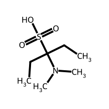 CCC(CC)(N(C)C)S(=O)(=O)O